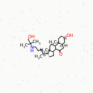 C[C@H](CCCNC(C)(C)CO)[C@H]1CCC2C3C(=O)C[C@@H]4C[C@H](O)CC[C@]4(C)C3CC[C@@]21C